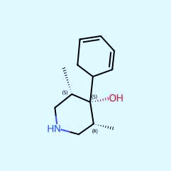 C[C@@H]1CNC[C@H](C)[C@@]1(O)C1C=CC=CC1